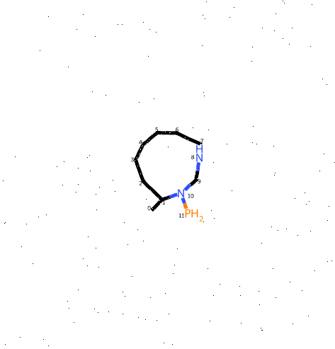 CC1CCCCCCNCN1P